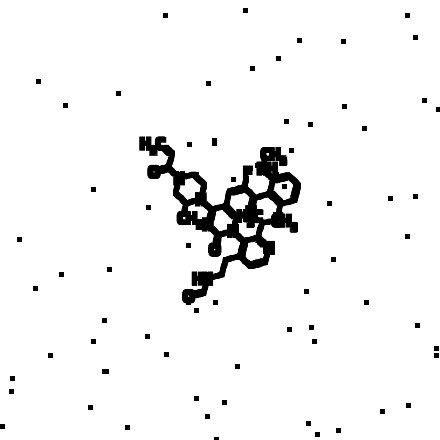 C=CC(=O)N1CCN(c2nc(=O)n(-c3c(CCNC=O)ccnc3C(C)C)c3nc(-c4c(F)cccc4NC)c(F)cc23)C(C)C1